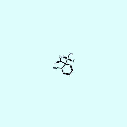 O=C(O)C1(S(=O)(=O)O)C=CC=CC1O